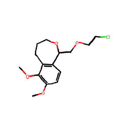 COc1ccc2c(c1OC)CCCOC2COCCCl